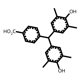 Cc1cc(C(c2ccc(C(=O)O)cc2)c2cc(C)c(O)c(C)c2)cc(C)c1O